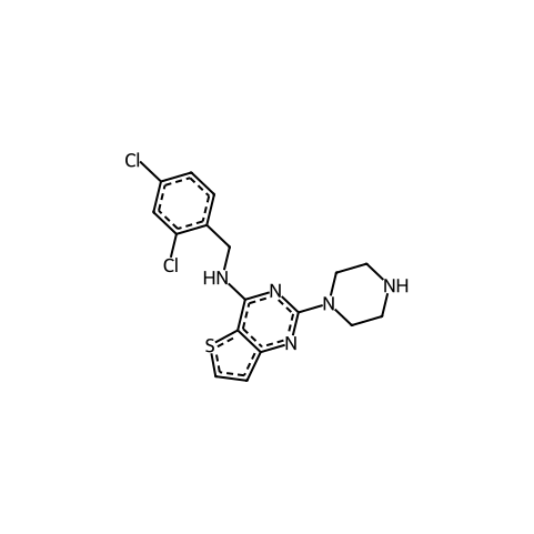 Clc1ccc(CNc2nc(N3CCNCC3)nc3ccsc23)c(Cl)c1